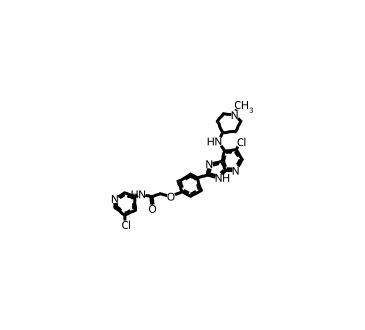 CN1CCC(Nc2c(Cl)cnc3[nH]c(-c4ccc(OCC(=O)Nc5cncc(Cl)c5)cc4)nc23)CC1